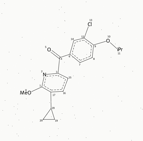 COc1nc(C(=O)c2ccc(OC(C)C)c(Cl)c2)ccc1C1CC1